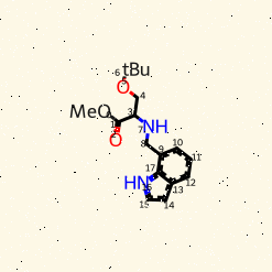 COC(=O)C(COC(C)(C)C)NCc1cccc2cc[nH]c12